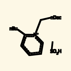 CCCCCCCCCCC[n+]1ccccc1CCCC.CS(=O)(=O)O